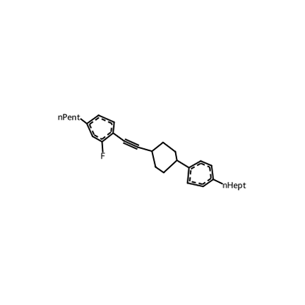 CCCCCCCc1ccc(C2CCC(C#Cc3ccc(CCCCC)cc3F)CC2)cc1